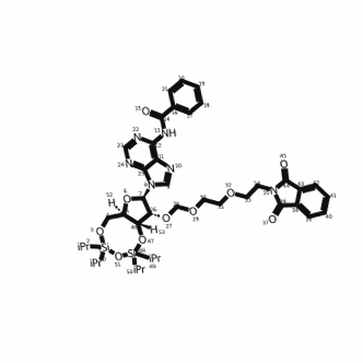 CC(C)[Si]1(C(C)C)OC[C@H]2O[C@@H](n3cnc4c(NC(=O)c5ccccc5)ncnc43)[C@H](OCOCCOCCN3C(=O)c4ccccc4C3=O)[C@@H]2O[Si](C(C)C)(C(C)C)O1